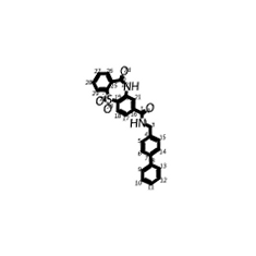 O=C(NCc1ccc(-c2ccccc2)cc1)c1ccc2c(c1)NC(=O)c1ccccc1S2(=O)=O